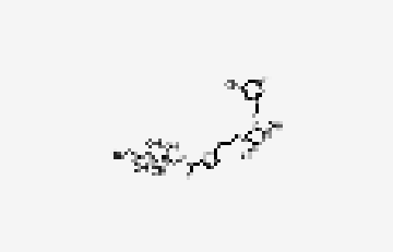 O=C(OC[C@H](O)[C@H](O)[C@@H](O)[C@H](O)CO)c1ccc(CCC[C@@H]2[C@@H](CCc3cc(Cl)cc(Cl)c3)[C@H](O)C[C@H]2Cl)s1